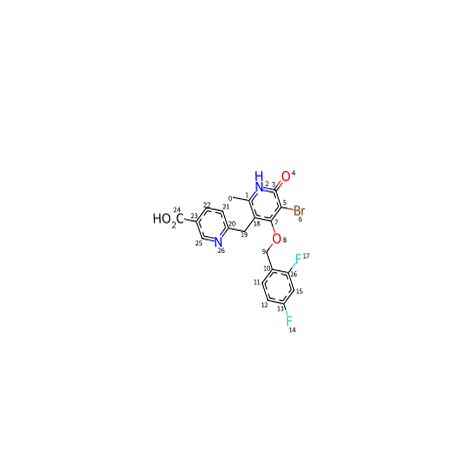 Cc1[nH]c(=O)c(Br)c(OCc2ccc(F)cc2F)c1Cc1ccc(C(=O)O)cn1